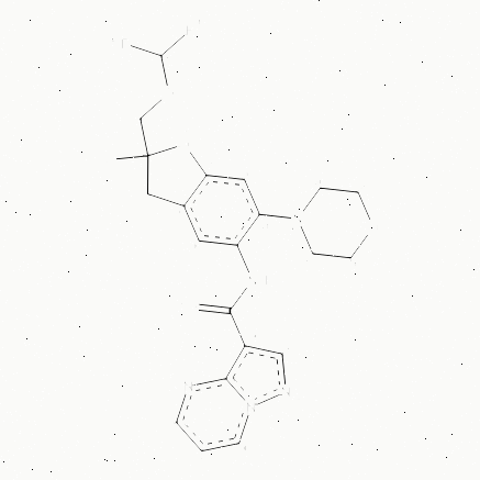 CC1(COC(F)F)Cc2cc(NC(=O)c3cnn4cccnc34)c(N3CCOCC3)cc2O1